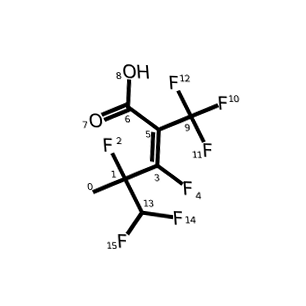 CC(F)(C(F)=C(C(=O)O)C(F)(F)F)C(F)F